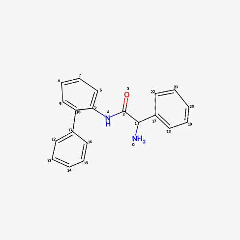 NC(C(=O)Nc1ccccc1-c1ccccc1)c1ccccc1